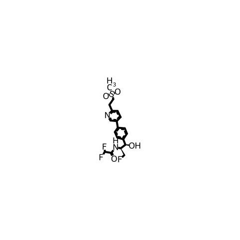 CS(=O)(=O)CCc1ccc(-c2ccc([C@@H](O)[C@@H](CF)NC(=O)C(F)F)cc2)cn1